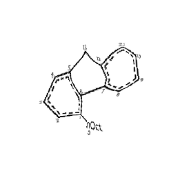 CCCCCCCCc1cc[c]c2c1-c1ccccc1C2